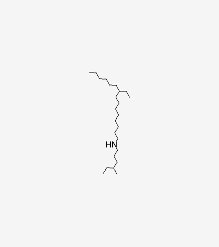 CCCCCCC(CC)CCCCCCCCNCCCC(C)CC